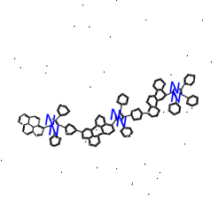 C1=CC2=CC=C3C=CC(c4nc(-c5ccccc5)c(-c5ccc(-c6cc7cccc8c9ccc(-c%10nc(-c%11ccccc%11)c(-c%11ccc(-c%12cccc%13c%12ccc%12c%14ccccc%14c(-c%14nc(-c%15ccccc%15)c(-c%15ccccc%15)n%14-c%14ccccc%14)cc%13%12)cc%11)n%10-c%10ccccc%10)c%10cccc(c(c6)c78)c%109)cc5)n4-c4ccccc4)=C4C=CC(=C1)C2C34